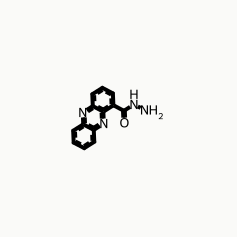 NNC(=O)c1cccc2nc3ccccc3nc12